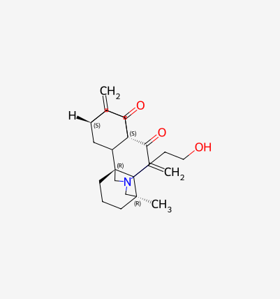 C=C1C(=O)[C@@]23CC[C@@H](CC2[C@@]24CCC[C@@](C)(CN(CCO)C2)C14)C(=C)C3=O